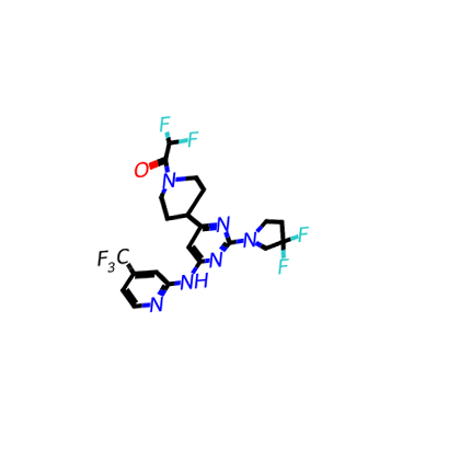 O=C(C(F)F)N1CCC(c2cc(Nc3cc(C(F)(F)F)ccn3)nc(N3CCC(F)(F)C3)n2)CC1